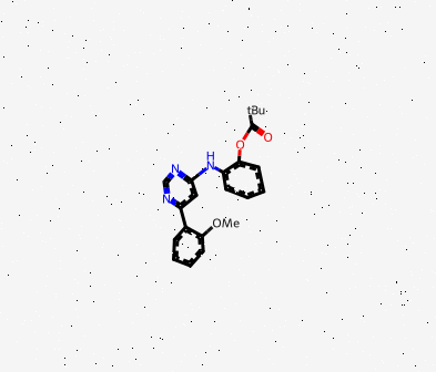 COc1ccccc1-c1cc(Nc2ccccc2OC(=O)C(C)(C)C)ncn1